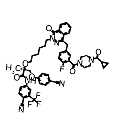 C[C@@](COc1ccc(C#N)cc1)(OCCCCCCn1nc(Cc2ccc(F)c(C(=O)N3CCN(C(=O)C4CC4)CC3)c2)c2ccccc2c1=O)C(=O)Nc1ccc(C#N)c(C(F)(F)F)c1